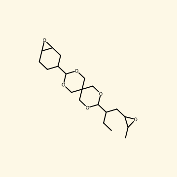 CCC(CC1OC1C)C1OCC2(CO1)COC(C1CCC3OC3C1)OC2